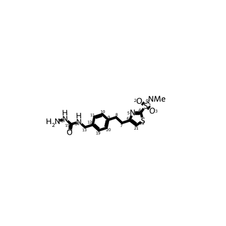 CNS(=O)(=O)c1nc(CCc2ccc(CNC(=O)NN)cc2)cs1